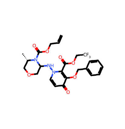 C=CCOC(=O)N1C(Nn2ccc(=O)c(OCc3ccccc3)c2C(=O)OCC(F)(F)F)COC[C@@H]1C